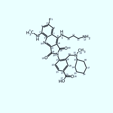 CNc1cc(F)cc2c(NCCCN)c3c(nc12)C(=O)N(c1ccc(C(=O)O)cc1CN(C)C1CCCCC1)C3=O